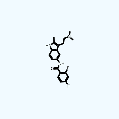 Cc1[nH]c2ccc(NC(=O)c3ccc(F)cc3F)cc2c1CCN(C)C